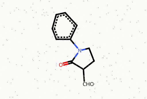 O=[C]C1CCN(c2ccccc2)C1=O